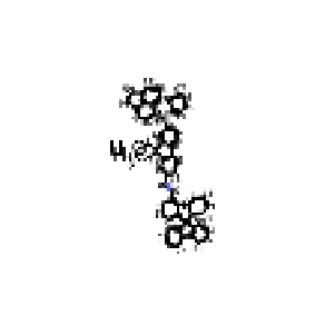 CCC1(CC)c2cc(/C=C/c3cccc4c3-c3ccccc3C4(c3ccccc3)c3ccccc3)ccc2-c2ccc(N(c3ccccc3)c3ccc4c5c(cccc35)CC4)cc21